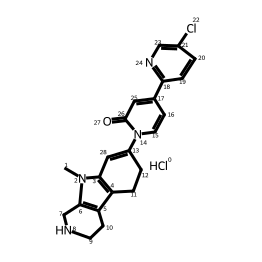 Cl.Cn1c2c(c3c1CNCC3)CCC(n1ccc(-c3ccc(Cl)cn3)cc1=O)=C2